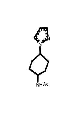 CC(=O)NC1CCC(n2c[c]cn2)CC1